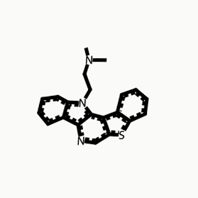 CN(C)CCn1c2ccccc2c2ncc3sc4ccccc4c3c21